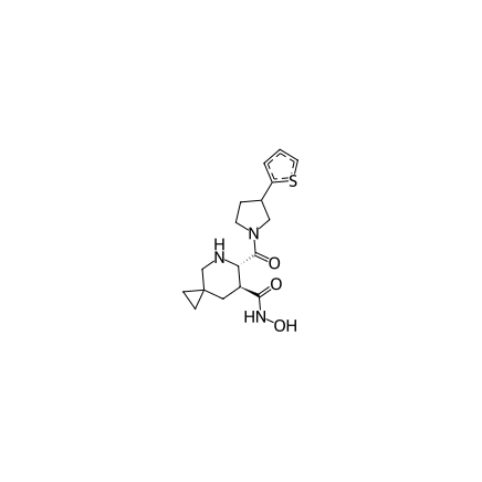 O=C(NO)[C@H]1CC2(CC2)CN[C@@H]1C(=O)N1CCC(c2cccs2)C1